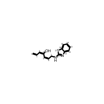 C=C/C=C(O)\C=C/CNc1nc2ccccc2s1